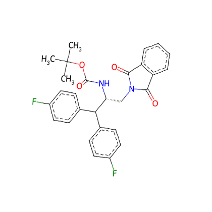 CC(C)(C)OC(=O)N[C@H](CN1C(=O)c2ccccc2C1=O)C(c1ccc(F)cc1)c1ccc(F)cc1